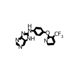 FC(F)(F)c1cccnc1Oc1ccc(Nc2nc3ncncc3[nH]2)cc1